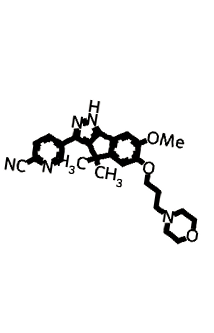 COc1cc2c(cc1OCCCN1CCOCC1)C(C)(C)c1c(-c3ccc(C#N)nc3)n[nH]c1-2